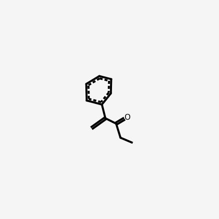 C=C(C(=O)CC)c1ccccc1